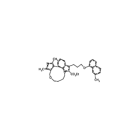 CCOC(=O)c1c(CCCOc2cccc3ccc(C)cc23)c2cccc3c2n1CCCCOCc1c-3c(C)nn1C